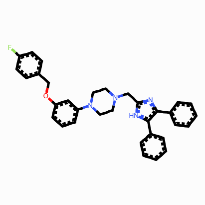 Fc1ccc(COc2cccc(N3CCN(Cc4nc(-c5ccccc5)c(-c5ccccc5)[nH]4)CC3)c2)cc1